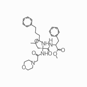 COC(=O)C(Cc1ccccc1)NC(=O)[C@@](CC(C)C)(NC(=O)CCCc1ccccc1)NC(=O)CN1CCOCC1